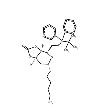 CCCCCS[C@@H]1C[C@H]2OC(=O)O[C@H]2[C@@H](CO[Si](c2ccccc2)(c2ccccc2)C(C)(C)C)O1